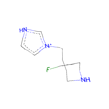 FC1(C[n+]2cc[nH]c2)CNC1